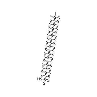 S=S(=S)(S)S(=S)(=S)S(=S)(=S)S(=S)(=S)S(=S)(=S)S(=S)(=S)S(=S)(=S)S(=S)(=S)S(=S)(=S)S(=S)(=S)S(=S)(=S)S(=S)(=S)S(=S)(=S)S(=S)(=S)S(=S)(=S)S(=S)(=S)S(=S)(=S)S(=S)(=S)I